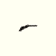 CCCCCCCCCCCCOc1ccc(SSc2nc3ccc(OCC)cc3s2)cc1